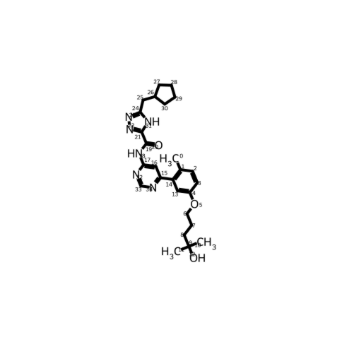 Cc1ccc(OCCCC(C)(C)O)cc1-c1cc(NC(=O)c2nnc(CC3CCCC3)[nH]2)ncn1